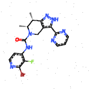 C[C@@H]1c2n[nH]c(-c3ncccn3)c2CN(C(=O)Nc2ccnc(Br)c2F)[C@@H]1C